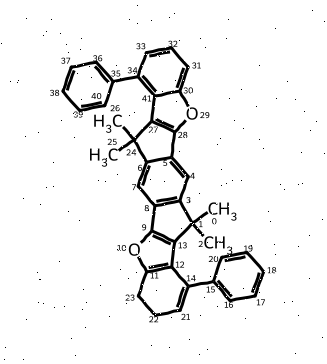 CC1(C)c2cc3c(cc2-c2oc4c(c21)C(c1ccccc1)=CCC4)C(C)(C)c1c-3oc2cccc(-c3ccccc3)c12